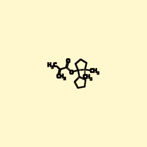 C=C(C)C(=O)OC1(C2CCCC2)CCCC1(C)C